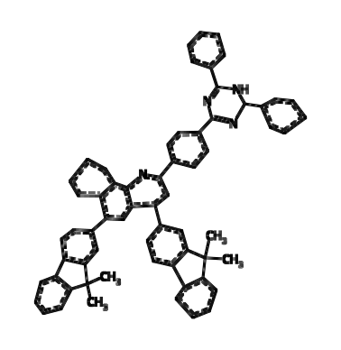 CC1(C)c2ccccc2-c2ccc(-c3cc4c(-c5ccc6c(c5)C(C)(C)c5ccccc5-6)cc(-c5ccc(C6=NC(c7ccccc7)NC(c7ccccc7)=N6)cc5)nc4c4ccccc34)cc21